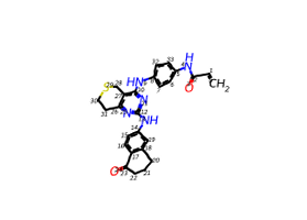 C=CC(=O)Nc1ccc(Nc2nc(Nc3ccc4c(c3)CCCC4=O)nc3c2CSCC3)cc1